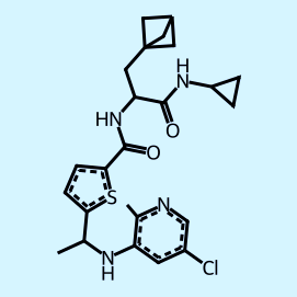 Cc1ncc(Cl)cc1NC(C)c1ccc(C(=O)NC(CC23CC(C2)C3)C(=O)NC2CC2)s1